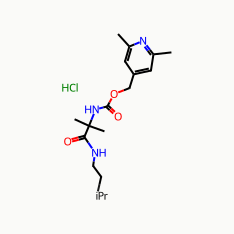 Cc1cc(COC(=O)NC(C)(C)C(=O)NCCC(C)C)cc(C)n1.Cl